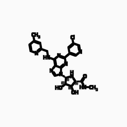 CNC(=O)[C@H]1N[C@@H](n2cnc3c(NCc4cc(C)ccn4)nc(-c4cncc(Cl)c4)nc32)[C@H](O)[C@@H]1O